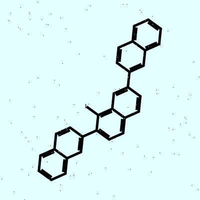 Ic1c(-c2ccc3ccccc3c2)ccc2ccc(-c3ccc4ccccc4c3)cc12